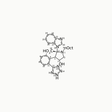 CCCCCCCCN1CC(O)C(c2ccccc2-c2nn[nH]n2)[C@]1(C(=O)O)n1cnc2ccccc21